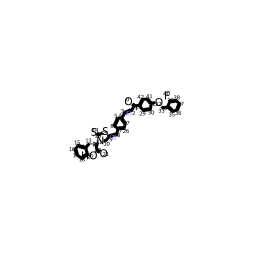 O=C(/C=C/c1ccc(/C=C2/CN([C@@H](Cc3ccccc3)C(=O)O)C(=S)S2)cc1)c1ccc(OCc2ccccc2F)cc1